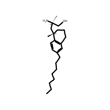 CCCCCCCCc1ccc2c(c1)CCC[C@@]2(C)C[C@@](C)(N)CO